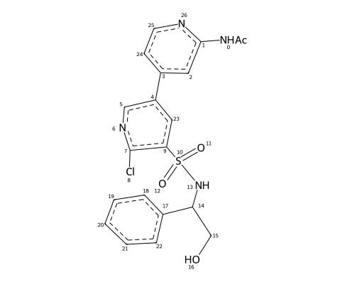 CC(=O)Nc1cc(-c2cnc(Cl)c(S(=O)(=O)NC(CO)c3ccccc3)c2)ccn1